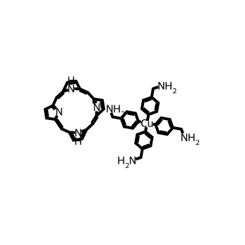 C1=Cc2cc3ccc(cc4nc(cc5ccc(cc1n2)[nH]5)C=C4)[nH]3.NCc1cc[c]([Cu]([c]2ccc(CN)cc2)([c]2ccc(CN)cc2)[c]2ccc(CN)cc2)cc1